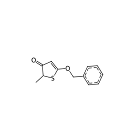 CC1SC(OCc2ccccc2)=CC1=O